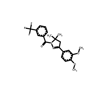 COc1ccc(C2=NN(C(=O)c3cccc(C(F)(F)F)c3)C(C)(C)C2)cc1OC